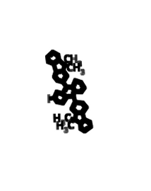 CC1(C)c2ccccc2-c2ccc(-c3c4ccccc4c(-c4ccc5c(c4)C(C)(C)c4ccccc4-5)c4cc(I)ccc34)cc21